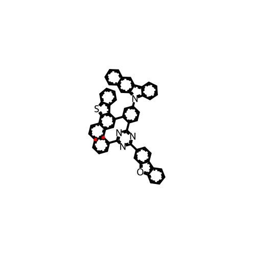 c1ccc(-c2nc(-c3ccc4c(c3)oc3ccccc34)nc(-c3ccc(-n4c5ccccc5c5cc6ccccc6cc54)cc3-c3cc4ccccc4c4sc5ccccc5c34)n2)cc1